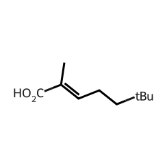 CC(=CCCC(C)(C)C)C(=O)O